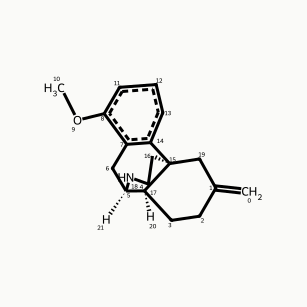 C=C1CC[C@H]2[C@H]3Cc4c(OC)cccc4[C@@]2(CCN3)C1